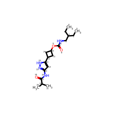 CCC(CC)CNC(=O)OC1CC(c2cc(NC(=O)C(C)C)n[nH]2)C1